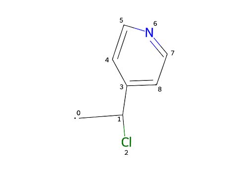 [CH2]C(Cl)c1ccncc1